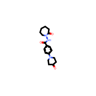 O=C1CCN(c2ccc(C(=O)NN3CCCCCC3=O)cc2)CC1